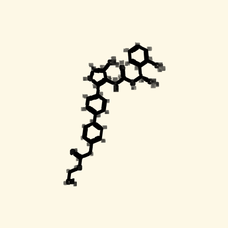 CCOC(=O)Cc1ccc(-c2ccc(-c3onc(C)c3NC(=O)O[C@H](C)c3ccccc3C)cc2)cc1